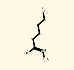 CCCCCC(O)=[SH]C